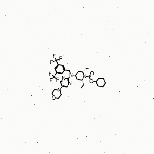 CC[C@@H]1C[C@H](N(Cc2cc(C(F)(F)F)cc(C(F)(F)F)c2)c2ncc(N3CCOCC3)cn2)C[C@H](CC)N1C(=O)OC1CCCCC1